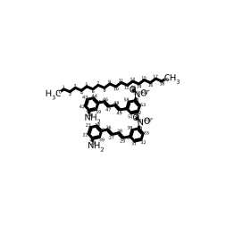 CCCCCCCCCCCCCCCCCCCC.Nc1cccc(C=CC=Cc2cccc([N+](=O)[O-])c2)c1.Nc1cccc(C=CC=Cc2cccc([N+](=O)[O-])c2)c1